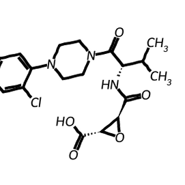 CC(C)[C@H](NC(=O)[C@H]1O[C@@H]1C(=O)O)C(=O)N1CCN(c2ccccc2Cl)CC1